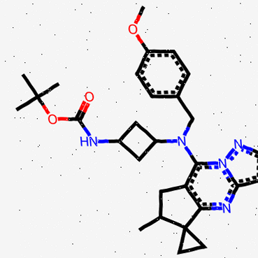 COc1ccc(CN(c2c3c(nc4ccnn24)C2(CC2)C(C)C3)C2CC(NC(=O)OC(C)(C)C)C2)cc1